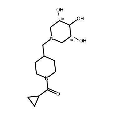 O=C(C1CC1)N1CCC(CN2C[C@@H](O)C(O)[C@@H](O)C2)CC1